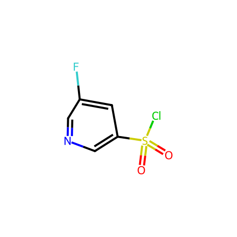 O=S(=O)(Cl)c1cncc(F)c1